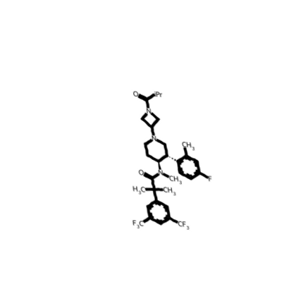 Cc1cc(F)ccc1[C@H]1CN(C2CN(C(=O)C(C)C)C2)CC[C@@H]1N(C)C(=O)C(C)(C)c1cc(C(F)(F)F)cc(C(F)(F)F)c1